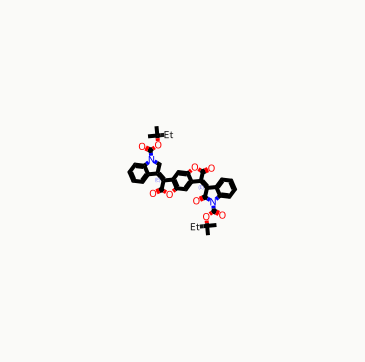 CCC(C)(C)OC(=O)N1C/C(=C2/C(=O)Oc3cc4c(cc32)OC(=O)/C4=C2/C(=O)N(C(=O)OC(C)(C)CC)c3ccccc32)c2ccccc21